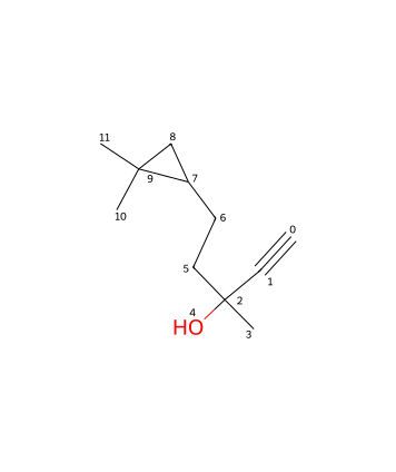 C#CC(C)(O)CCC1CC1(C)C